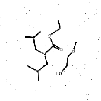 CCSC(=O)N(CC(C)C)CC(C)C.COCCO